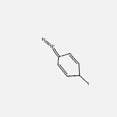 [N-]=[N+]=C1C=CC(I)C=C1